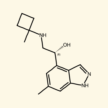 Cc1cc([C@@H](O)CNC2(C)CCC2)c2cn[nH]c2c1